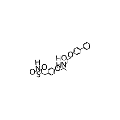 CC(COc1ccc(CC2SC(=O)NC2=O)cc1)NCC(O)COc1ccc(-c2ccccc2)cc1